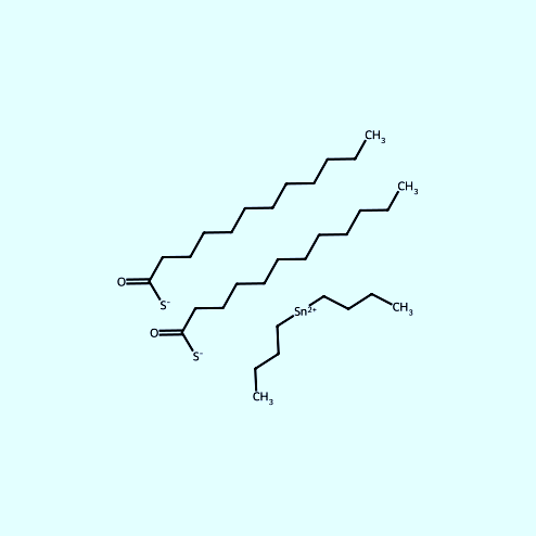 CCCCCCCCCCCC(=O)[S-].CCCCCCCCCCCC(=O)[S-].CCC[CH2][Sn+2][CH2]CCC